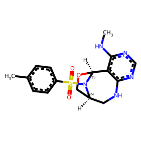 CNc1ncnc2c1[C@@H]1OC[C@H](CN2)N1S(=O)(=O)c1ccc(C)cc1